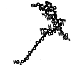 CC[C@H](NC(=O)[C@H](C)NC(=O)[C@H](CC(C)C)NC(=O)[C@H](CC(=O)OC(C)(C)C)NC(=O)CN)C(=O)N[C@@H](CC(C)C)C(=O)N[C@@H](CCCNC(N)=O)C(=O)NC(C)(C)C(=O)N[C@@H](CC(C)C)C(=O)NCCOCCOCCOCCOCCOCCC(=O)O